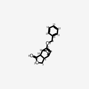 O=C1OCC2C3C=C(OCc4ccccc4)C(O3)C12